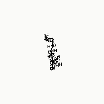 CC[C@H](O)[C@H](NC(=O)[C@H]1CCCCN1C)C(=O)N(COC(=O)CC(C)C)C(CC(OC(C)=O)c1nc(C(=O)NCCNC(=O)CCC2=[N+](C)/C(=C\c3c(C)cc(C)n3B(F)F)C=C2)cs1)C(C)C